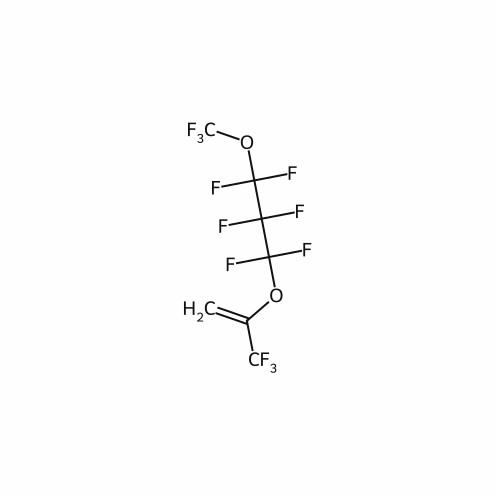 C=C(OC(F)(F)C(F)(F)C(F)(F)OC(F)(F)F)C(F)(F)F